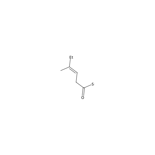 CCC(C)=CCC(=O)[S]